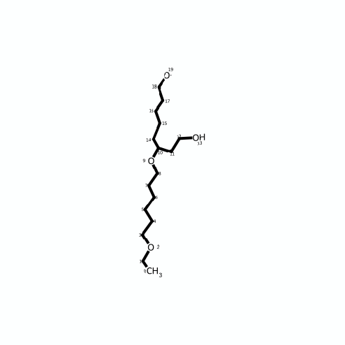 CCOCCCCCCOC(CCO)CCCCC[O]